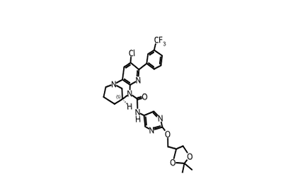 CC1(C)OCC(COc2ncc(NC(=O)N3c4nc(-c5cccc(C(F)(F)F)c5)c(Cl)cc4N4CCC[C@H]3C4)cn2)O1